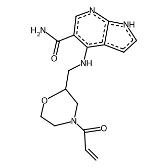 C=CC(=O)N1CCOC(CNc2c(C(N)=O)cnc3[nH]ccc23)C1